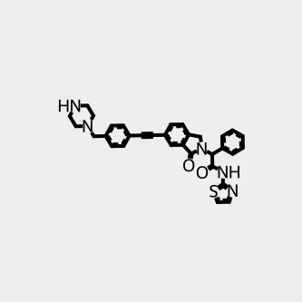 O=C(Nc1nccs1)C(c1ccccc1)N1Cc2ccc(C#Cc3ccc(CN4CCNCC4)cc3)cc2C1=O